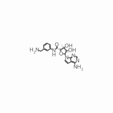 C[C@@]1(O)[C@@H](C(=O)Nc2cccc(CN)c2)OC(n2ccc3c(N)ncnc32)[C@@H]1O